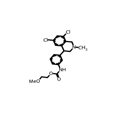 COCCOC(=O)Nc1cccc(C2CN(C)Cc3c(Cl)cc(Cl)cc32)c1